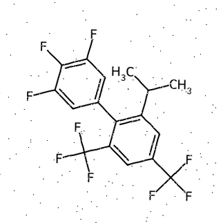 CC(C)c1cc(C(F)(F)F)cc(C(F)(F)F)c1-c1cc(F)c(F)c(F)c1